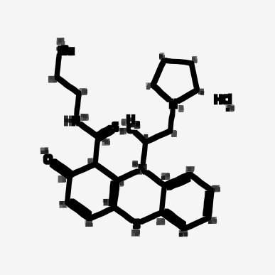 CC(CN1CCCC1)N1C2=C(C=CC(=O)C2C(=S)NCCC(C)(C)C)Sc2ccccc21.Cl